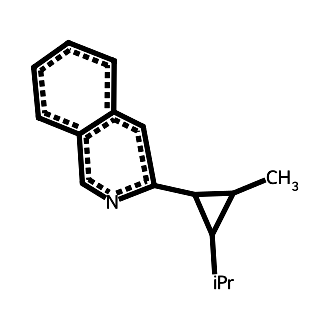 CC(C)C1C(C)C1c1cc2ccccc2cn1